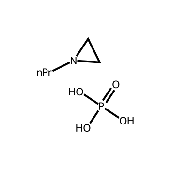 CCCN1CC1.O=P(O)(O)O